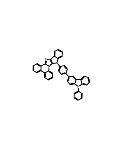 c1ccc(-n2c3ccccc3c3cc(-c4ccc(-n5c6ccccc6c6nc7c8ccccc8c8ccccc8n7c65)cc4)ccc32)cc1